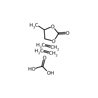 C=C.C=C.CC1COC(=O)O1.O=C(O)O